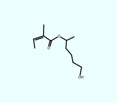 CC=C(C)C(=O)OC(C)CCCCO